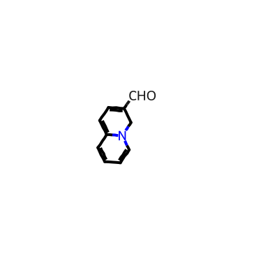 O=CC1=CC=C2C=CC=CN2C1